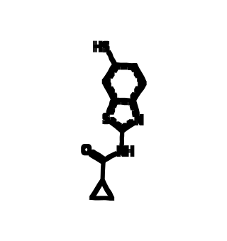 O=C(Nc1nc2ccc(S)cc2s1)C1CC1